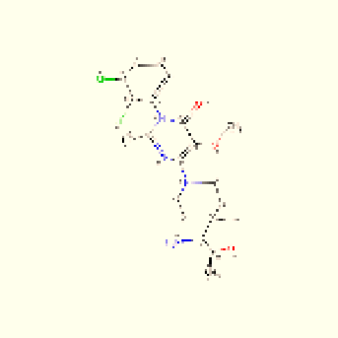 COc1c(N2CCC3(CC2)CO[C@@H](C)[C@H]3N)nc(C)n(C2=CC=C[C@H](Cl)C2Cl)c1=O